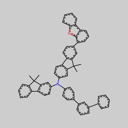 CC1(C)c2ccccc2-c2ccc(N(c3ccc(-c4cccc(-c5ccccc5)c4)cc3)c3ccc4c(c3)C(C)(C)c3cc(-c5cccc6c5oc5ccccc56)ccc3-4)cc21